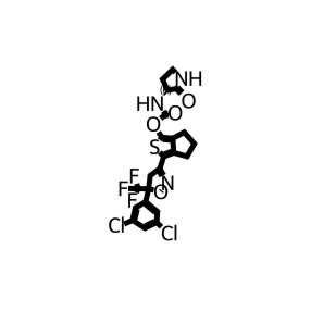 O=C(N[C@@H]1CCNC1=O)Oc1sc(C2=NOC(c3cc(Cl)cc(Cl)c3)(C(F)(F)F)C2)c2c1CCC2